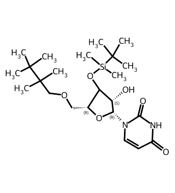 CC(C)(C)C(C)(C)COC[C@H]1O[C@@H](n2ccc(=O)[nH]c2=O)[C@@H](O)C1O[Si](C)(C)C(C)(C)C